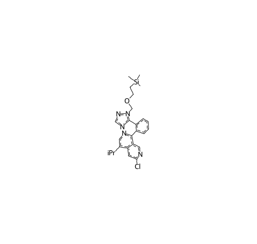 CC(C)c1cnc(-c2ccccc2-c2ncnn2COCC[Si](C)(C)C)c2cnc(Cl)cc12